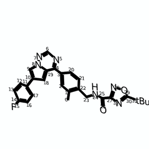 Cc1cc(-c2ncnn3cc(-c4ccc(F)cc4)cc23)ccc1CNC(=O)c1noc(C(C)(C)C)n1